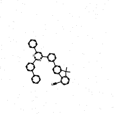 CC1(C)c2cc(-c3cccc(-c4cc(-c5ccccc5)nc(-c5cccc(-c6ccccc6)c5)n4)c3)ccc2-c2c(C#N)cccc21